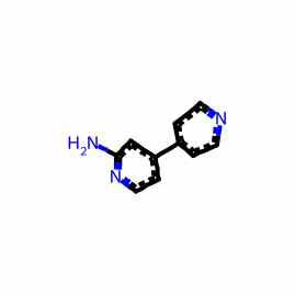 Nc1cc(-c2ccncc2)ccn1